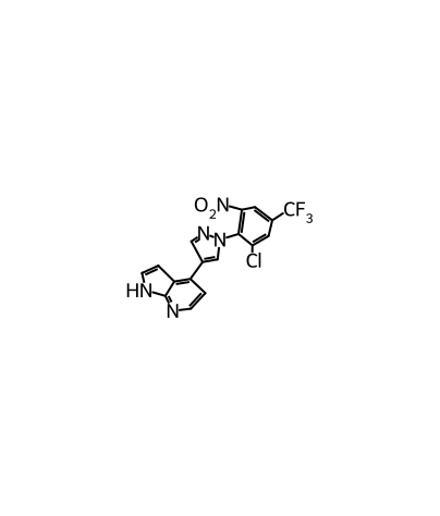 O=[N+]([O-])c1cc(C(F)(F)F)cc(Cl)c1-n1cc(-c2ccnc3[nH]ccc23)cn1